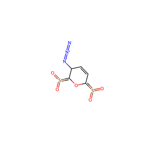 [N-]=[N+]=NC1C=CC(=S(=O)=O)OC1=S(=O)=O